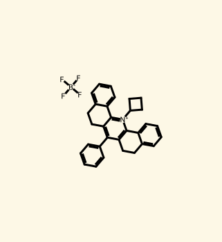 F[B-](F)(F)F.c1ccc(-c2c3c([n+](C4CCC4)c4c2CCc2ccccc2-4)-c2ccccc2CC3)cc1